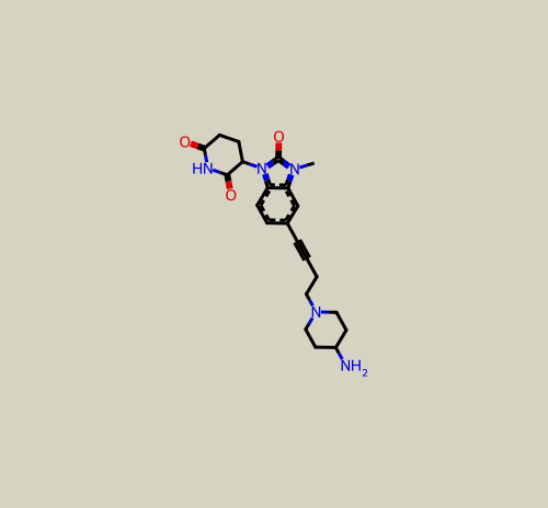 Cn1c(=O)n(C2CCC(=O)NC2=O)c2ccc(C#CCCN3CCC(N)CC3)cc21